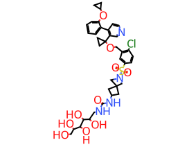 O=C(NCC(O)C(O)C(O)C(O)CO)NC1CC2(C1)CN(S(=O)(=O)c1ccc(Cl)c(COC3(c4cnccc4-c4ccccc4OC4CC4)CC3)c1)C2